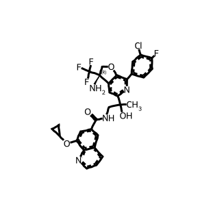 CC(O)(CNC(=O)c1cc(OC2CC2)c2ncccc2c1)c1cc2c(c(-c3ccc(F)c(Cl)c3)n1)OC[C@@]2(N)C(F)(F)F